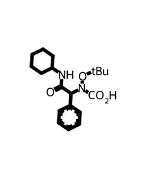 CC(C)(C)ON(C(=O)O)C(C(=O)NC1CCCCC1)c1ccccc1